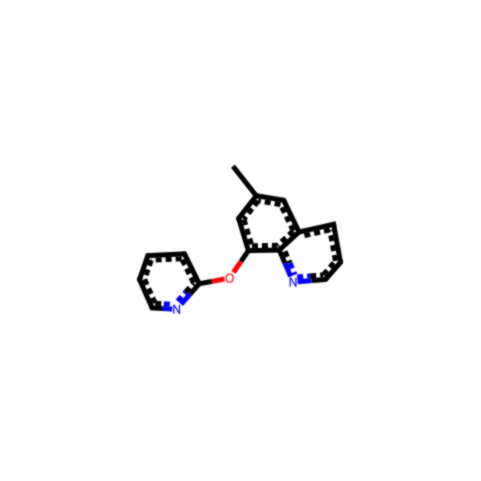 Cc1cc(Oc2ccccn2)c2ncccc2c1